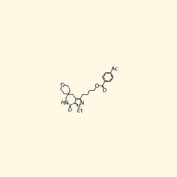 CCn1nc(CCCCOC(=O)c2ccc(C(C)=O)cc2)c2c1C(=O)NCC1(CCOCC1)C2